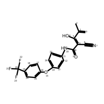 C=C(C)C(O)=C(C#N)C(=O)Nc1ccc(Oc2ccc(C(F)(F)F)cc2)cc1